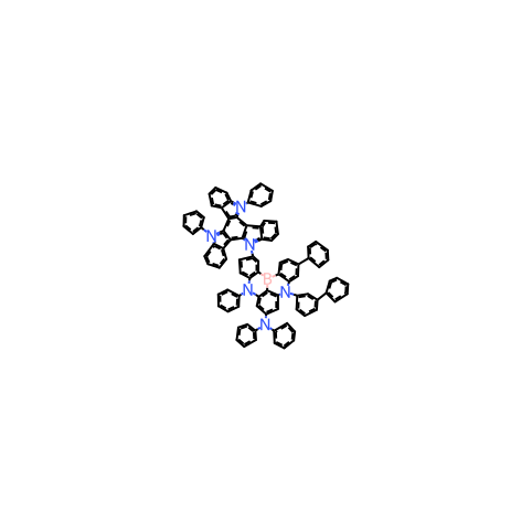 c1ccc(-c2cccc(N3c4cc(-c5ccccc5)ccc4B4c5cc(-n6c7ccccc7c7c8c(c9ccccc9n8-c8ccccc8)c8c(c9ccccc9n8-c8ccccc8)c76)ccc5N(c5ccccc5)c5cc(N(c6ccccc6)c6ccccc6)cc3c54)c2)cc1